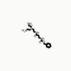 NCCN(CCN)CCNC(=O)CCNC(=O)OCc1ccccc1